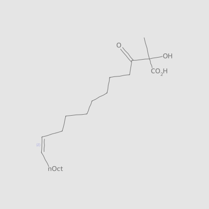 CCCCCCCC/C=C\CCCCCCCC(=O)C(C)(O)C(=O)O